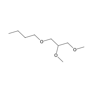 CCCCOCC(COC)OC